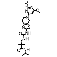 COc1cc(N2CCc3nc(NC(=O)NCC(C)(C)C(=O)NC(C)C)sc3C2)nc(OC)n1